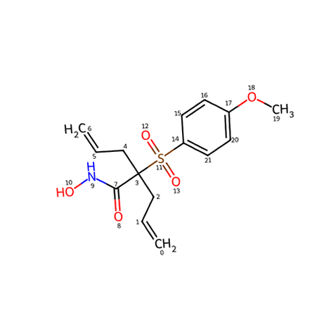 C=CCC(CC=C)(C(=O)NO)S(=O)(=O)c1ccc(OC)cc1